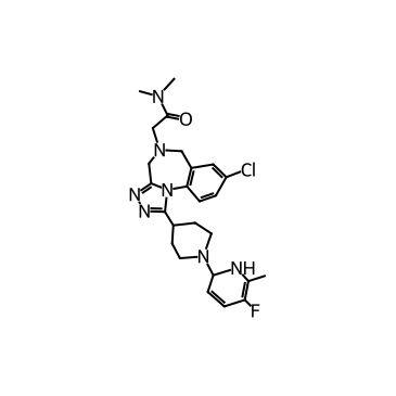 CC1=C(F)C=CC(N2CCC(c3nnc4n3-c3ccc(Cl)cc3CN(CC(=O)N(C)C)C4)CC2)N1